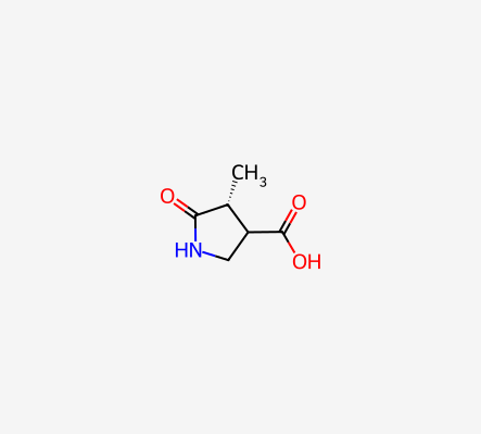 C[C@H]1C(=O)NCC1C(=O)O